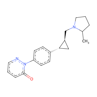 CC1CCCN1C[C@H]1C[C@@H]1c1ccc(-n2ncccc2=O)cc1